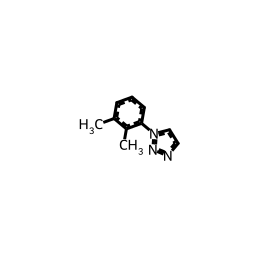 Cc1cccc(-n2ccnn2)c1C